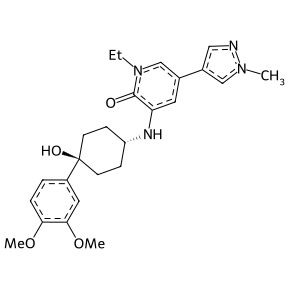 CCn1cc(-c2cnn(C)c2)cc(N[C@H]2CC[C@@](O)(c3ccc(OC)c(OC)c3)CC2)c1=O